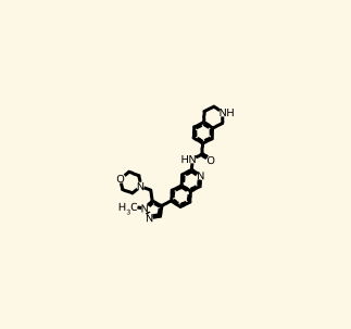 Cn1ncc(-c2ccc3cnc(NC(=O)c4ccc5c(c4)CNCC5)cc3c2)c1CN1CCOCC1